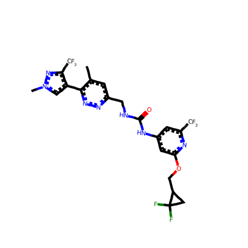 Cc1cc(CNC(=O)Nc2cc(OCC3CC3(F)F)nc(C(F)(F)F)c2)nnc1-c1cn(C)nc1C(F)(F)F